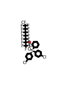 O=S(=O)(OS(c1ccccc1)(c1ccc(Cl)cc1)c1ccc(Cl)cc1)C(F)(F)C(F)(F)C(F)(F)C(F)(F)C(F)(F)C(F)(F)C(F)(F)C(F)(F)F